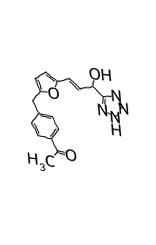 CC(=O)c1ccc(Cc2ccc(C=CC(O)c3nn[nH]n3)o2)cc1